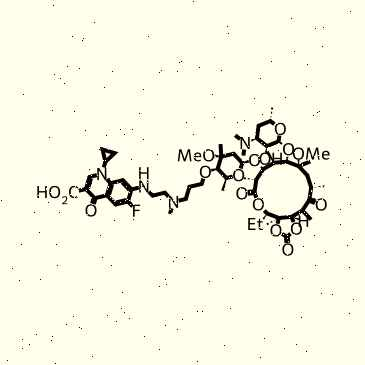 CC[C@@H]1OC(=O)[C@H](C)[C@H](O[C@@H]2C[C@](C)(OC)[C@H](OCCCN(C)CCNc3cc4c(cc3F)c(=O)c(C(=O)O)cn4C3CC3)[C@H](C)O2)[C@@H](C)[C@H](O[C@H]2O[C@@H](C)C[C@@H](N(C)C)[C@H]2O)[C@](C)(OC)C[C@H](C)C(=O)C(C)[C@H]2OC(=O)O[C@@]12C